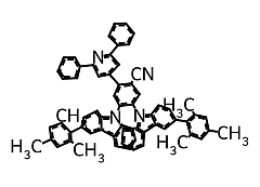 Cc1cc(C)c(-c2ccc3c(c2)c2ccccc2n3-c2cc(C#N)c(-c3cc(-c4ccccc4)nc(-c4ccccc4)c3)cc2-n2c3ccccc3c3cc(-c4c(C)cc(C)cc4C)ccc32)c(C)c1